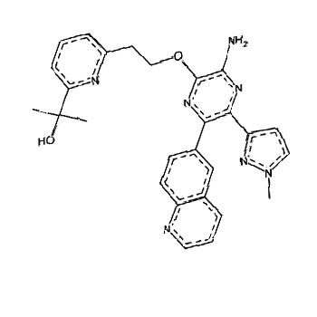 Cn1ccc(-c2nc(N)c(OCCc3cccc(C(C)(C)O)n3)nc2-c2ccc3ncccc3c2)n1